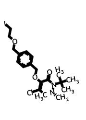 C=NN(C(=O)/C(OCc1ccc(COCCI)cc1)=C(\C)Cl)C(C)(C)C